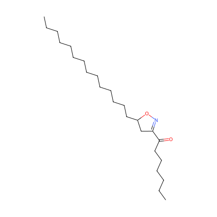 CCCCCCCCCCCCCCC1CC(C(=O)CCCCCC)=NO1